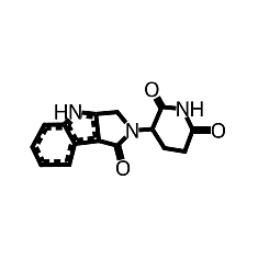 O=C1CCC(N2Cc3[nH]c4ccccc4c3C2=O)C(=O)N1